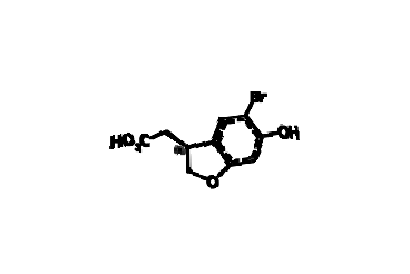 O=C(O)C[C@@H]1COc2cc(O)c(Br)cc21